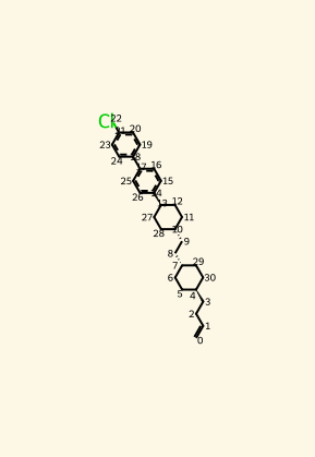 C=CCC[C@H]1CC[C@H](CC[C@H]2CC[C@H](c3ccc(-c4ccc(Cl)cc4)cc3)CC2)CC1